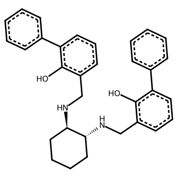 Oc1c(CN[C@@H]2CCCC[C@H]2NCc2cccc(-c3ccccc3)c2O)cccc1-c1ccccc1